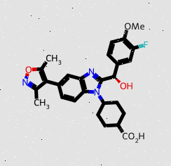 COc1ccc([C@@H](O)c2nc3cc(-c4c(C)noc4C)ccc3n2C2CCC(C(=O)O)CC2)cc1F